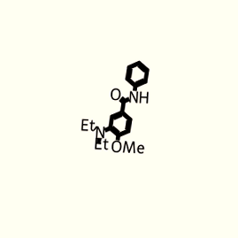 CCN(CC)c1cc(C(=O)Nc2ccccc2)ccc1OC